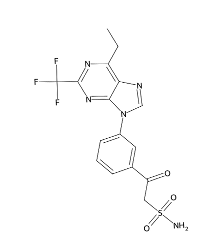 CCc1nc(C(F)(F)F)nc2c1ncn2-c1cccc(C(=O)CS(N)(=O)=O)c1